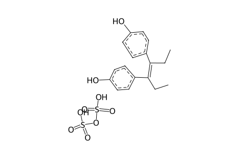 CCC(=C(CC)c1ccc(O)cc1)c1ccc(O)cc1.O=S(=O)(O)OS(=O)(=O)O